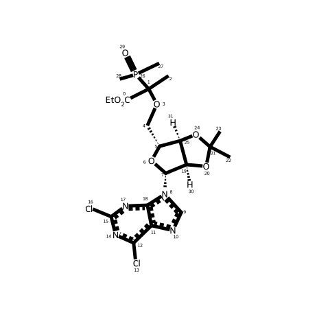 CCOC(=O)C(C)(OC[C@H]1O[C@@H](n2cnc3c(Cl)nc(Cl)nc32)[C@@H]2OC(C)(C)O[C@@H]21)P(C)(C)=O